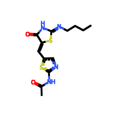 CCCC/N=C1/NC(=O)/C(=C/c2cnc(NC(C)=O)s2)S1